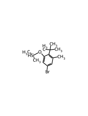 Cc1cc(Br)cc(O[SiH](C)C)c1C(C)(C)C